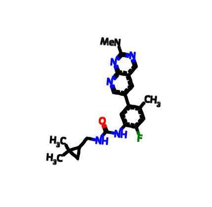 CNc1ncc2cc(-c3cc(NC(=O)NCC4CC4(C)C)c(F)cc3C)cnc2n1